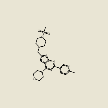 Cc1ccc(-c2nc(N3CCOCC3)c3cc(CN4CCN(S(C)(=O)=O)CC4)sc3n2)cn1